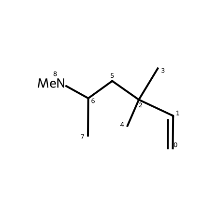 C=CC(C)(C)CC(C)NC